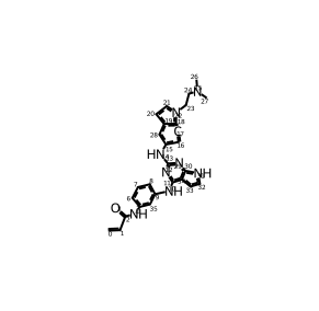 C=CC(=O)Nc1cccc(Nc2nc(Nc3ccc4c(ccn4CCN(C)C)c3)nc3[nH]ccc23)c1